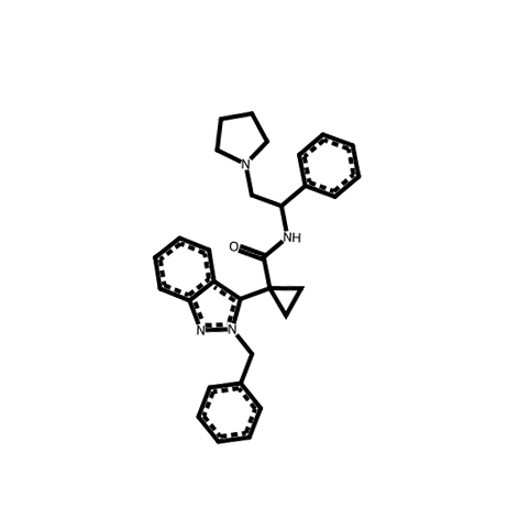 O=C(NC(CN1CCCC1)c1ccccc1)C1(c2c3ccccc3nn2Cc2ccccc2)CC1